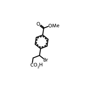 COC(=O)c1ccc(C(Br)CC(=O)O)cc1